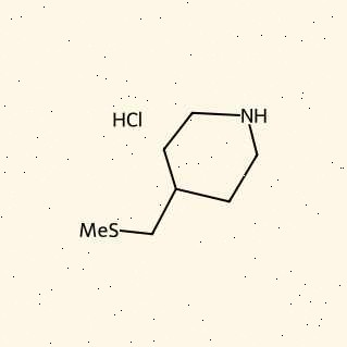 CSCC1CCNCC1.Cl